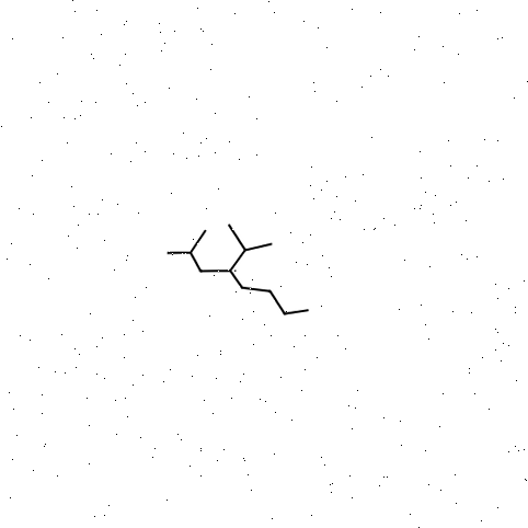 CCCC[C](CC(C)C)C(C)C